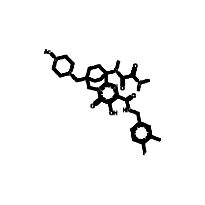 CC(=O)N1CCN(CC23CCC(N(C)C(=O)C(=O)N(C)C)(CC2)c2nc(C(=O)NCc4ccc(F)c(C)c4)c(O)c(=O)n2C3)CC1